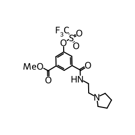 COC(=O)c1cc(OS(=O)(=O)C(F)(F)F)cc(C(=O)NCCN2CCCC2)c1